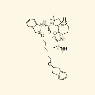 CN[C@@H](C)C(=O)N[C@H]1CCS[C@H]2CC(C)(C)[C@@H](C(=O)N[C@H]3c4ccccc4C[C@H]3OCCCCCCOC3Cc4ccccc4C3)N2C1=O